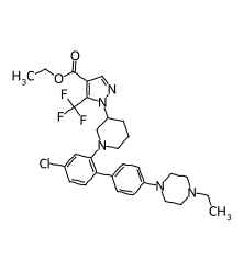 CCOC(=O)c1cnn(C2CCCN(c3cc(Cl)ccc3-c3ccc(N4CCN(CC)CC4)cc3)C2)c1C(F)(F)F